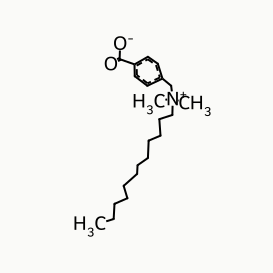 CCCCCCCCCCCC[N+](C)(C)Cc1ccc(C(=O)[O-])cc1